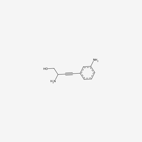 Nc1cccc(C#CC(N)CO)c1